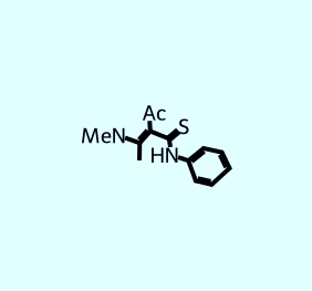 CNC(C)=C(C(C)=O)C(=S)Nc1ccccc1